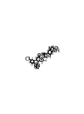 C[C@H]1Cc2cc(-c3cc(Cl)ccc3-n3cnnn3)cc(=O)n2[C@@H]1c1ncc(-c2ccc3[nH]c(=O)cnc3c2)[nH]1